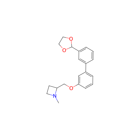 CN1CCC1COc1cccc(-c2cccc(C3OCCO3)c2)c1